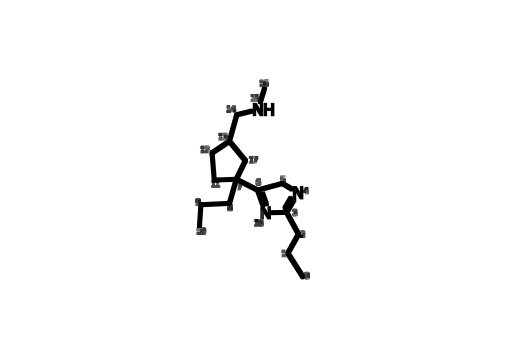 CCCC1=NCC(C2(CCC)CCC(CNC)C2)=N1